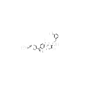 CC(C)(C)OC(=O)N1CC=C(c2c[nH]c3cc(Nc4ncc(Br)c(NCCc5cccc(Cl)c5)n4)ccc23)CC1